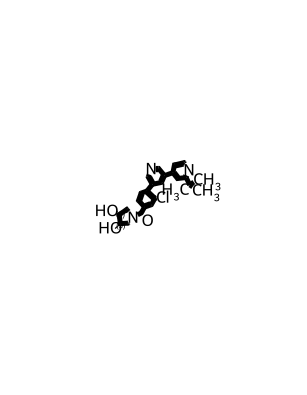 CC(C)(C)c1cc(-c2cncc(-c3ccc(C(=O)N4C[C@H](O)[C@@H](O)C4)cc3Cl)c2)ccn1